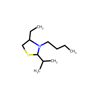 CCCCN1C(CC)CSC1C(C)C